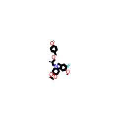 COc1ccc(COC[C@H](C)CN2Cc3cc(F)c(OC)cc3C23CCC2(CC3)OCCO2)cc1